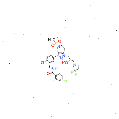 CS(=O)(=O)N1CCc2c(c(-c3ccc(Cl)c(CNC(=O)c4ccc(F)cc4)c3)nn2CC(O)CN2CCC(F)(F)C2)C1